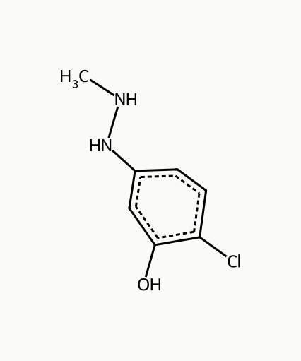 CNNc1ccc(Cl)c(O)c1